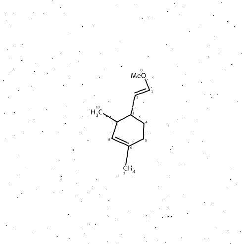 COC=CC1CCC(C)=CC1C